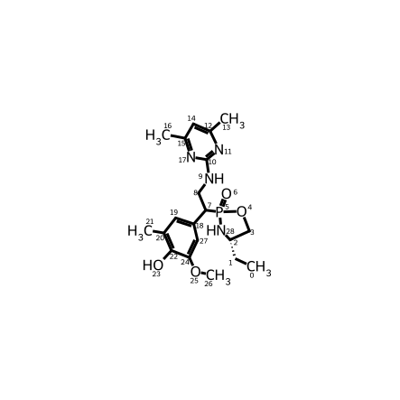 CC[C@H]1COP(=O)(C(CNc2nc(C)cc(C)n2)c2cc(C)c(O)c(OC)c2)N1